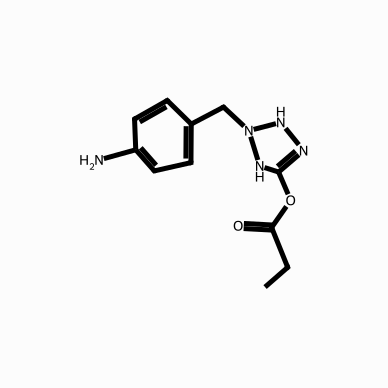 CCC(=O)OC1=NNN(Cc2ccc(N)cc2)N1